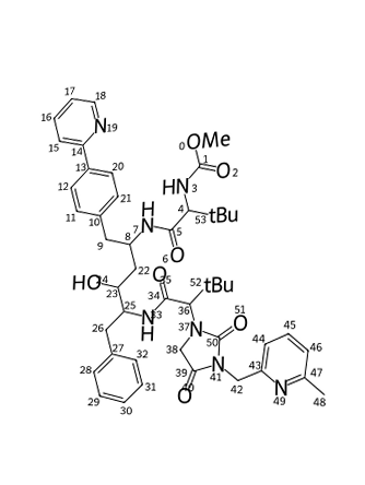 COC(=O)NC(C(=O)NC(Cc1ccc(-c2ccccn2)cc1)CC(O)C(Cc1ccccc1)NC(=O)C(N1CC(=O)N(Cc2cccc(C)n2)C1=O)C(C)(C)C)C(C)(C)C